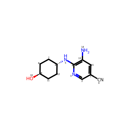 N#Cc1cnc(N[C@H]2CC[C@H](O)CC2)c(N)c1